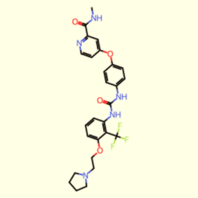 CNC(=O)c1cc(Oc2ccc(NC(=O)Nc3cccc(OCCN4CCCC4)c3C(F)(F)F)cc2)ccn1